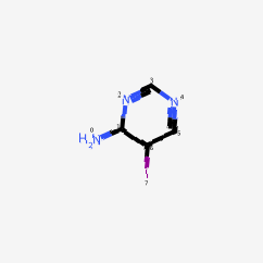 NC1N=CN=CC1I